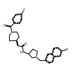 O=C(C=C1CCN(C(=O)c2ccc(F)cc2)CC1)NC1CCN(Cc2ccc3cc(F)ccc3c2)C1